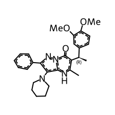 COc1ccc([C@@H](C)c2c(C)[nH]c3c(N4CCCCC4)c(-c4ccccc4)nn3c2=O)cc1OC